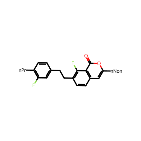 CCCCCCCCCc1cc2ccc(CCc3ccc(CCC)c(F)c3)c(F)c2c(=O)o1